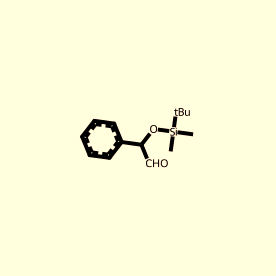 CC(C)(C)[Si](C)(C)OC(C=O)c1ccccc1